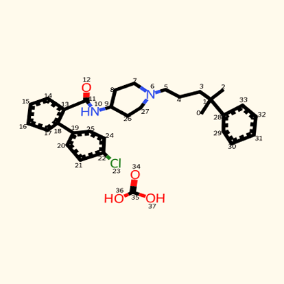 CC(C)(CCCN1CCC(NC(=O)c2ccccc2-c2ccc(Cl)cc2)CC1)c1ccccc1.O=C(O)O